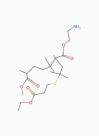 CCOC(=O)CCSC(C)(C)CC(C)(C(=O)OCCN)C(C)(C)CCC(C)C(=O)OC